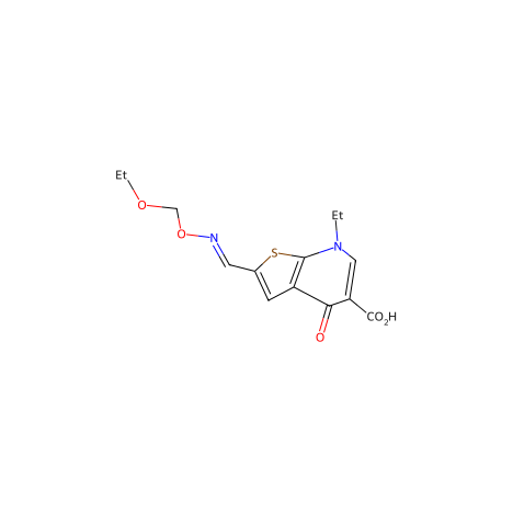 CCOCON=Cc1cc2c(=O)c(C(=O)O)cn(CC)c2s1